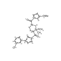 COc1ccc(C(=O)N2CCN(C(=O)c3ncn(-c4cccc(Cl)c4)n3)C(C)(C)C2)s1